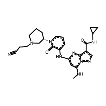 CNc1cc(Nc2cccn([C@H]3CCCN(CCC#N)C3)c2=O)nc2c(C(=O)NC3CC3)cnn12